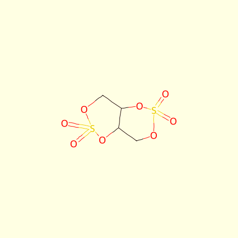 O=S1(=O)OCC2OS(=O)(=O)OCC2O1